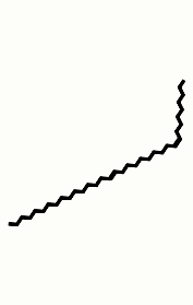 CCCCCCCC/C=C\CCCCCCCCC=CCCCCCCCCCCCCCCC